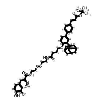 CC(C)(C)OC(=O)C=Cc1ccc(-c2ccc(OCCCC(=O)NCCSSCCNC(=O)C(Cc3ccc(O)c(Br)c3)=NO)c(C34CC5CC(CC(C5)C3)C4)c2)cc1